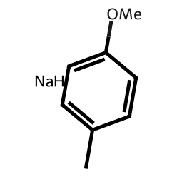 COc1ccc(C)cc1.[NaH]